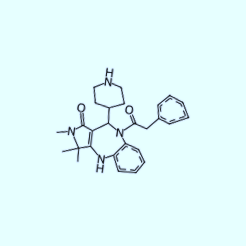 CN1C(=O)C2=C(Nc3ccccc3N(C(=O)Cc3ccccc3)C2C2CCNCC2)C1(C)C